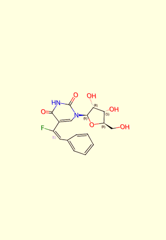 O=c1[nH]c(=O)n([C@@H]2O[C@H](CO)[C@@H](O)[C@H]2O)cc1/C(F)=C\c1ccccc1